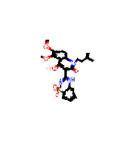 COc1ccc2c(c(O)c(C3=NS(=O)(=O)c4ccccc4N3)c(=O)n2CCC(C)C)c1OC